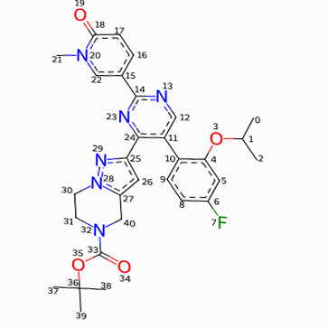 CC(C)Oc1cc(F)ccc1-c1cnc(-c2ccc(=O)n(C)c2)nc1-c1cc2n(n1)CCN(C(=O)OC(C)(C)C)C2